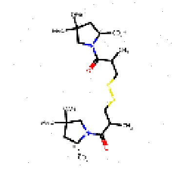 COC1(OC)C[C@@H](C(=O)O)N(C(=O)C(C)CSSCC(C)C(=O)N2CC(OC)(OC)C[C@H]2C(=O)O)C1